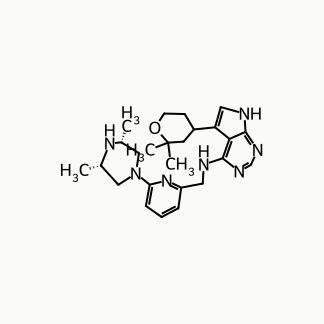 C[C@@H]1CN(c2cccc(CNc3ncnc4[nH]cc(C5CCOC(C)(C)C5)c34)n2)C[C@H](C)N1